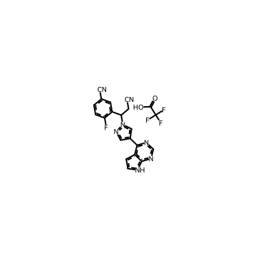 N#CCC(c1cc(C#N)ccc1F)n1cc(-c2ncnc3[nH]ccc23)cn1.O=C(O)C(F)(F)F